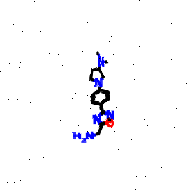 CN(C)C1CCN(c2ccc(-c3noc(CN)n3)cc2)C1